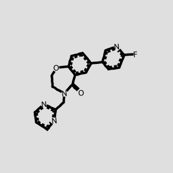 O=C1c2cc(-c3ccc(F)nc3)ccc2OCCN1Cc1ncccn1